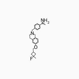 C[C@H](N)c1ccc(CN2CCc3cc(OCC4CC(C)(F)C4)ccc3C2)cc1